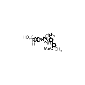 COc1cc(-c2ccc([C@@H](Oc3cc(N4CCC5(CC4)CNC(C(=O)O)C5)nc(N)n3)C(F)(F)F)cc2)ccc1C